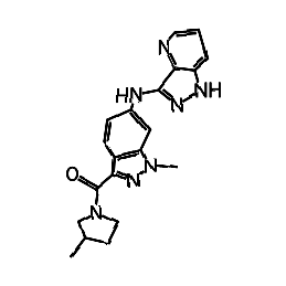 CC1CCN(C(=O)c2nn(C)c3cc(Nc4n[nH]c5cccnc45)ccc23)C1